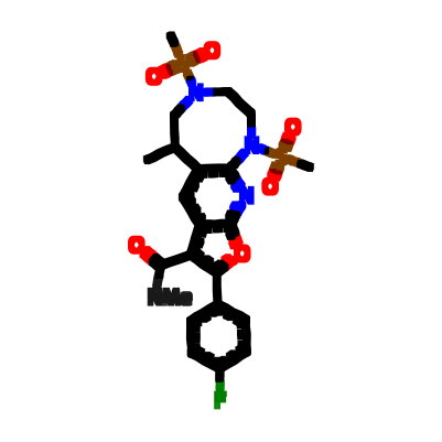 CNC(=O)c1c(-c2ccc(F)cc2)oc2nc3c(cc12)C(C)CN(S(C)(=O)=O)CCN3S(C)(=O)=O